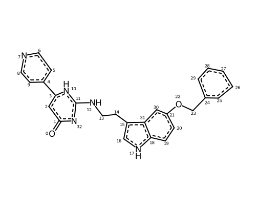 O=c1cc(-c2ccncc2)[nH]c(NCCc2c[nH]c3ccc(OCc4ccccc4)cc23)n1